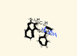 O=S(=O)(O)c1cc2ccccc2c(S(=O)(=O)O)c1S(=O)(=O)O.c1ccc(-c2ncc[nH]2)cc1